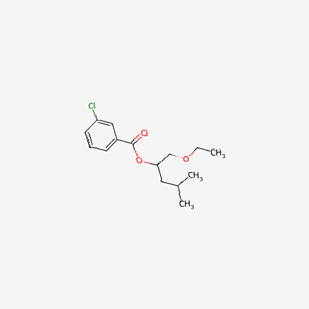 CCOCC(CC(C)C)OC(=O)c1cccc(Cl)c1